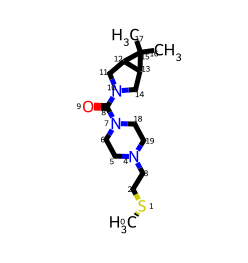 CSCCN1CCN(C(=O)N2CC3C(C2)C3(C)C)CC1